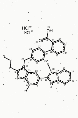 CCCc1nc2c(C)cc(-c3nc4ccccc4n3C)cc2n1Cc1ccc(-c2ccccc2C(=O)O)cc1.Cl.Cl